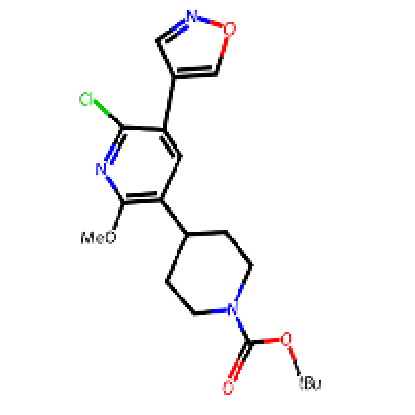 COc1nc(Cl)c(-c2cnoc2)cc1C1CCN(C(=O)OC(C)(C)C)CC1